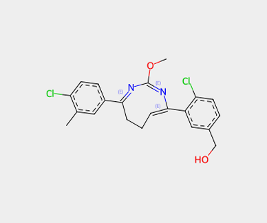 COC1=N/C(c2cc(CO)ccc2Cl)=C/CC/C(c2ccc(Cl)c(C)c2)=N\1